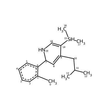 Cc1ccccc1C1C=C(CC(C)C)C([SiH](C)C)=CN1